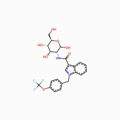 O=C(N[C@H]1C(O)O[C@H](CO)[C@@H](O)[C@@H]1O)c1cn(Cc2ccc(OC(F)(F)F)cc2)c2ccccc12